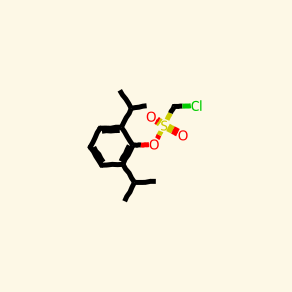 CC(C)c1cccc(C(C)C)c1OS(=O)(=O)CCl